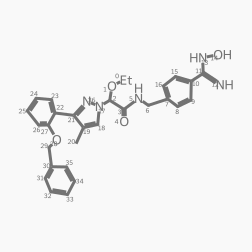 CCOC(C(=O)NCc1ccc(C(=N)NO)cc1)n1cc(C)c(-c2ccccc2OCc2ccccc2)n1